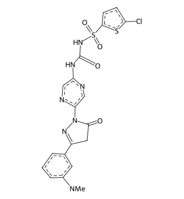 CNc1cccc(C2=NN(c3cnc(NC(=O)NS(=O)(=O)c4ccc(Cl)s4)cn3)C(=O)C2)c1